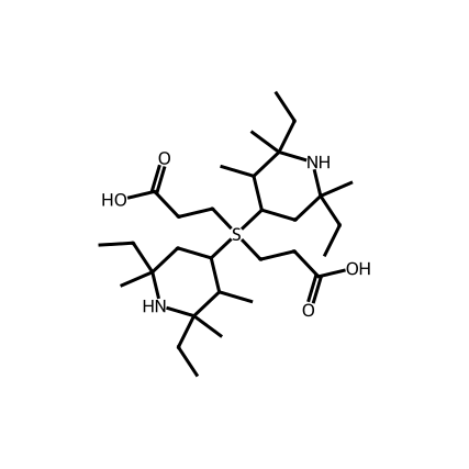 CCC1(C)CC(S(CCC(=O)O)(CCC(=O)O)C2CC(C)(CC)NC(C)(CC)C2C)C(C)C(C)(CC)N1